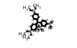 CCN(CC)C1=CCC(C(=C2C=CC(=[N+](CC)CC)C=C2)c2ccc([SH](=O)=O)cc2S(=O)(=O)O)=CC1